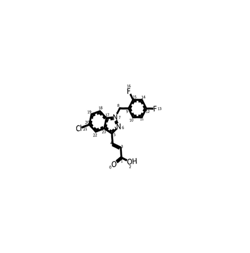 O=C(O)C=Cc1nn(Cc2ccc(F)cc2F)c2ccc(Cl)cc12